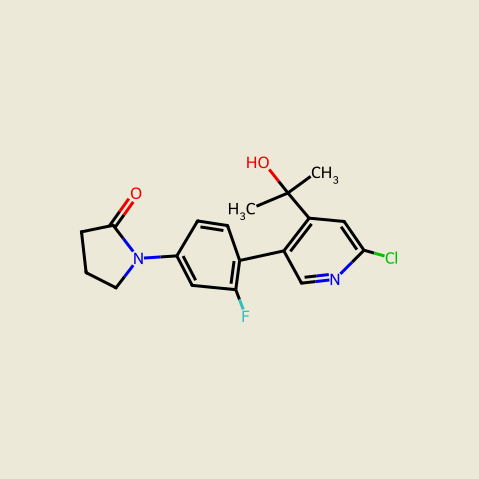 CC(C)(O)c1cc(Cl)ncc1-c1ccc(N2CCCC2=O)cc1F